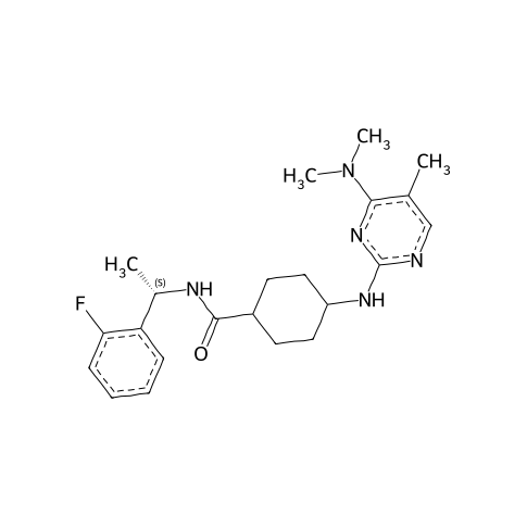 Cc1cnc(NC2CCC(C(=O)N[C@@H](C)c3ccccc3F)CC2)nc1N(C)C